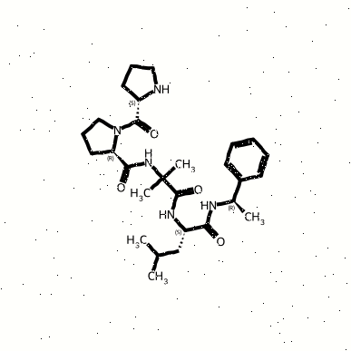 CC(C)C[C@H](NC(=O)C(C)(C)NC(=O)[C@H]1CCCN1C(=O)[C@@H]1CCCN1)C(=O)N[C@H](C)c1ccccc1